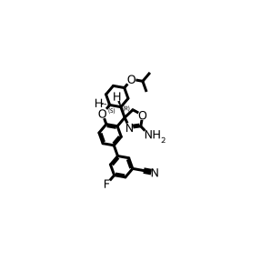 CC(C)OC1CC[C@@H]2Oc3ccc(-c4cc(F)cc(C#N)c4)cc3C3(COC(N)=N3)[C@H]2C1